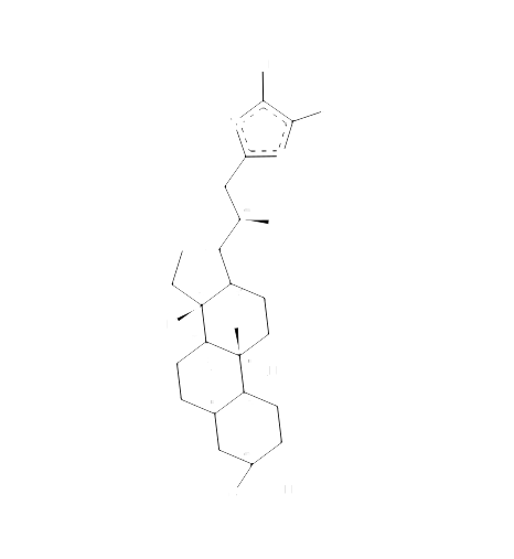 Cc1nc(C[C@@H](O)[C@H]2CC[C@H]3[C@@H]4CC[C@@H]5C[C@](C)(O)CC[C@@H]5[C@H]4CC[C@]23C)sc1C